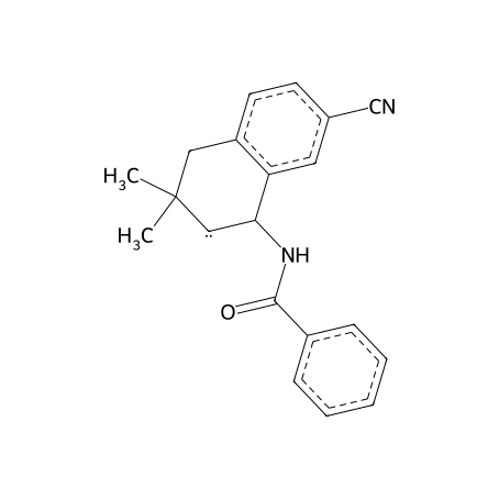 CC1(C)[C]C(NC(=O)c2ccccc2)c2cc(C#N)ccc2C1